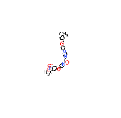 Cc1ccc(COc2ccc(N3CCN(CCC(=O)N4CCC(Oc5ccc([N+](=O)[O-])c(C)c5)CC4)CC3)cc2)cc1